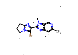 Cn1c(-c2nc3n(c2Br)CCC3)nc2cc(C(F)(F)F)ncc21